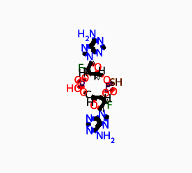 Nc1ncnc2c1ncn2[C@@H]1O[C@@H]2COP(=O)(S)O[C@H]3[C@@H](F)[C@H](n4cnc5c(N)ncnc54)O[C@@H]3COP(=O)(O)O[C@H]2[C@H]1F